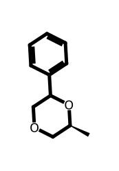 C[C@H]1COCC(c2ccccc2)O1